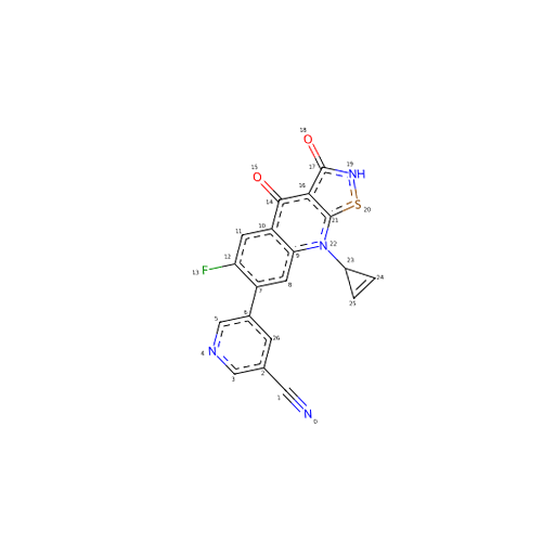 N#Cc1cncc(-c2cc3c(cc2F)c(=O)c2c(=O)[nH]sc2n3C2C=C2)c1